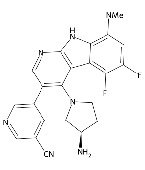 CNc1cc(F)c(F)c2c1[nH]c1ncc(-c3cncc(C#N)c3)c(N3CC[C@@H](N)C3)c12